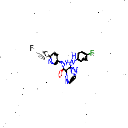 O=C(Nc1ccc(C(F)(F)F)nc1)c1nccnc1Nc1ccc(F)cc1